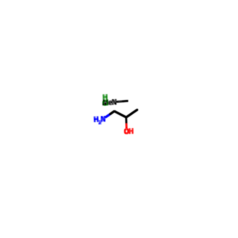 CC(O)CN.CNC.Cl